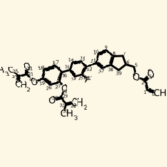 C=CC(=O)OCC1Cc2ccc(-c3ccc(-c4ccc(OC(=O)C(=C)C)cc4OC(=O)C(=C)C)cc3F)cc2C1